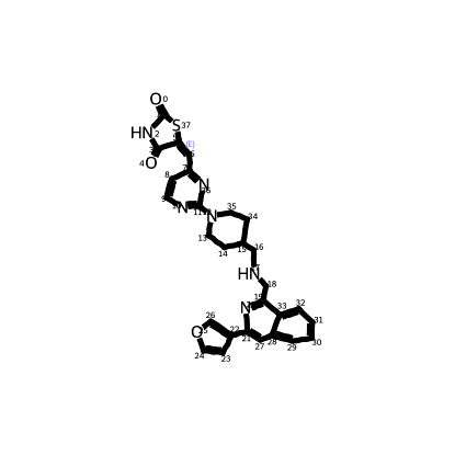 O=C1NC(=O)/C(=C\c2ccnc(N3CCC(CNCc4nc(-c5ccoc5)cc5ccccc45)CC3)n2)S1